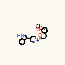 COc1cccc2c1O[C@@H](CN1CC=C(c3c[nH]c4ccccc34)CC1)CC2